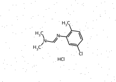 Cc1ccc(Cl)cc1N=CN(C)C.Cl